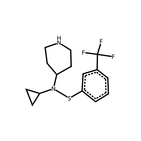 FC(F)(F)c1cccc(SN(C2CCNCC2)C2CC2)c1